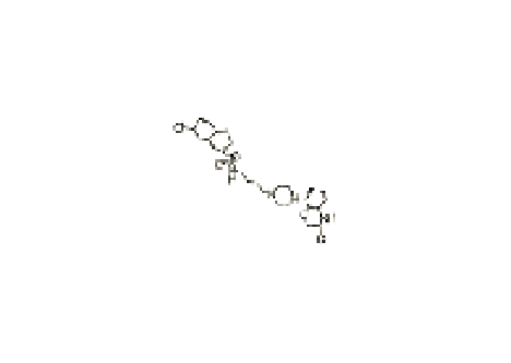 O=C1COc2c(cccc2N2CCN(CCCCNS(=O)(=O)c3ccc4ccc(Cl)cc4c3)CC2)N1